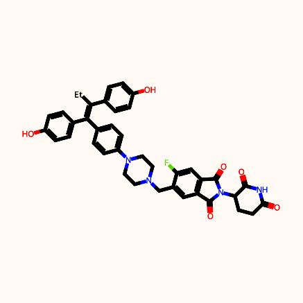 CCC(=C(c1ccc(O)cc1)c1ccc(N2CCN(Cc3cc4c(cc3F)C(=O)N(C3CCC(=O)NC3=O)C4=O)CC2)cc1)c1ccc(O)cc1